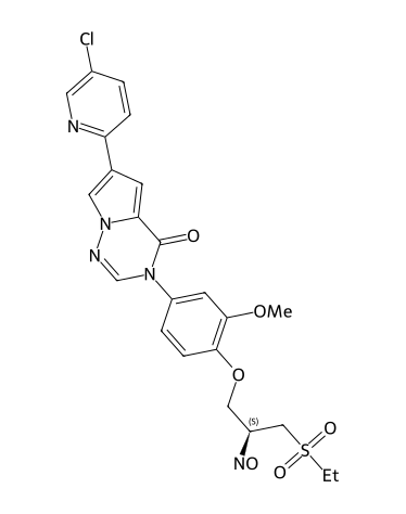 CCS(=O)(=O)C[C@H](COc1ccc(-n2cnn3cc(-c4ccc(Cl)cn4)cc3c2=O)cc1OC)N=O